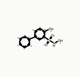 O=S(=O)(NO)c1cc(-c2ccccc2)ccc1O